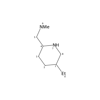 CCC1CCC(CNC)NC1